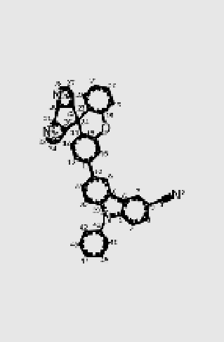 N#Cc1ccc2c(c1)c1cc(-c3ccc4c(c3)Oc3ccccc3C43c4cccnc4-c4ncccc43)ccc1n2-c1ccccc1